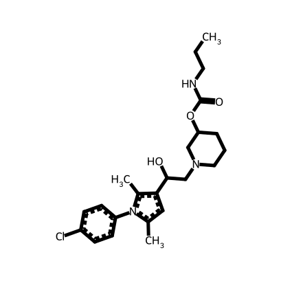 CCCNC(=O)OC1CCCN(CC(O)c2cc(C)n(-c3ccc(Cl)cc3)c2C)C1